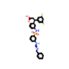 O=C(O)CC(c1cc(F)cc(F)c1)c1cccc(NS(=O)(=O)c2cccc(N/C=N/Cc3ccccc3)c2)c1